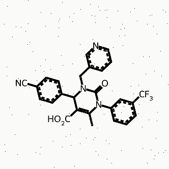 CC1=C(C(=O)O)C(c2ccc(C#N)cc2)N(Cc2cccnc2)C(=O)N1c1cccc(C(F)(F)F)c1